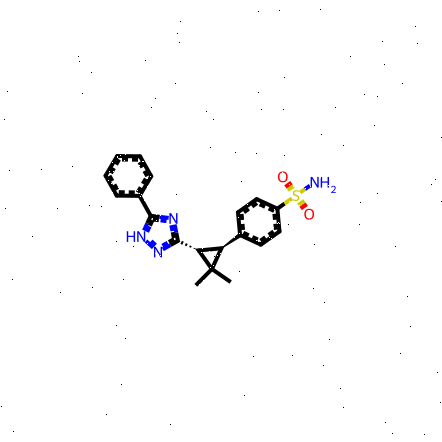 CC1(C)[C@H](c2ccc(S(N)(=O)=O)cc2)[C@H]1c1n[nH]c(-c2ccccc2)n1